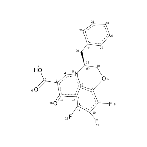 O=C(O)c1cn2c3c(c(F)c(F)c(F)c3c1=O)OC[C@@H]2Cc1ccccc1